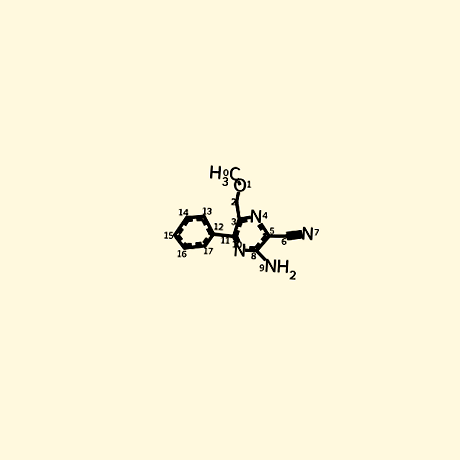 COCc1nc(C#N)c(N)nc1-c1ccccc1